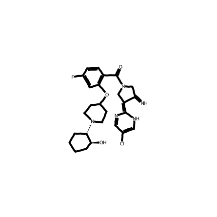 N=C1CN(C(=O)c2ccc(F)cc2OC2CCN([C@H]3CCCC[C@@H]3O)CC2)C/C1=C1\N=CC(Cl)=CN1